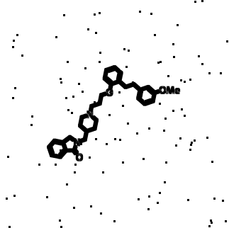 COc1cccc(CCc2ccccc2OCCCN2CCC(CN3Cc4ccccc4C3=O)CC2)c1